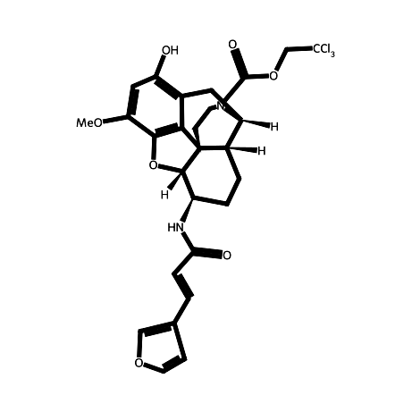 COc1cc(O)c2c3c1O[C@H]1[C@H](NC(=O)/C=C/c4ccoc4)CC[C@H]4[C@@H](C2)N(C(=O)OCC(Cl)(Cl)Cl)CC[C@@]341